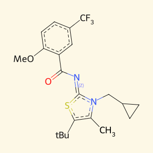 COc1ccc(C(F)(F)F)cc1C(=O)/N=c1\sc(C(C)(C)C)c(C)n1CC1CC1